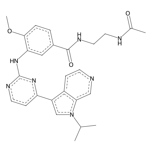 COc1ccc(C(=O)NCCNC(C)=O)cc1Nc1nccc(-c2cn(C(C)C)c3cnccc23)n1